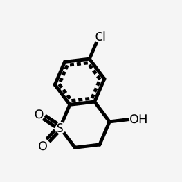 O=S1(=O)CCC(O)c2cc(Cl)ccc21